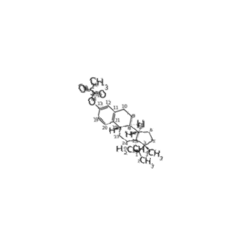 C=C(C)[C@@]1(C)CC[C@H]2[C@@H]3CCc4cc(OS(C)(=O)=O)ccc4[C@H]3CC[C@@]21C